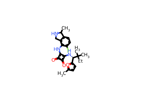 CCC(C)(C)[C@@H](Nc1c(Nc2c(F)ccc3c2CNC3C)c(=O)c1=O)c1ccc(C)o1